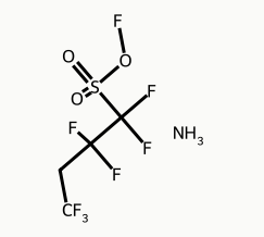 N.O=S(=O)(OF)C(F)(F)C(F)(F)CC(F)(F)F